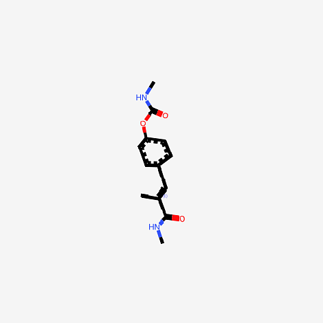 CNC(=O)Oc1ccc(/C=C(\C)C(=O)NC)cc1